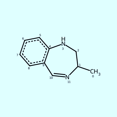 CC1CNc2ccccc2C=N1